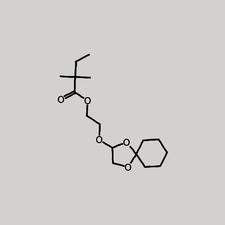 CCC(C)(C)C(=O)OCCOC1COC2(CCCCC2)O1